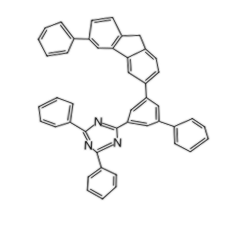 c1ccc(-c2cc(-c3ccc4c(c3)-c3cc(-c5ccccc5)ccc3C4)cc(-c3nc(-c4ccccc4)nc(-c4ccccc4)n3)c2)cc1